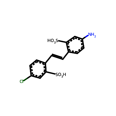 Nc1ccc(/C=C/c2ccc(Cl)cc2S(=O)(=O)O)c(S(=O)(=O)O)c1